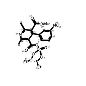 CCSOP(=O)(OSCC)OC(=O)c1c(C)nc(C)c(C(=O)OC)c1-c1cccc([N+](=O)[O-])c1